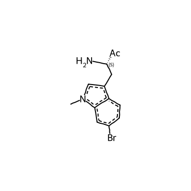 CC(=O)[C@@H](N)Cc1cn(C)c2cc(Br)ccc12